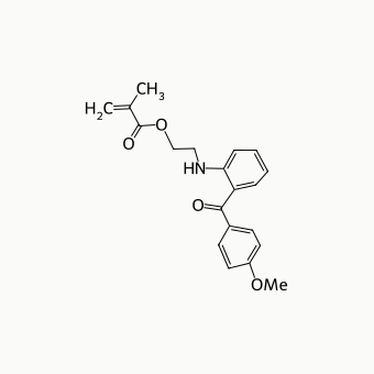 C=C(C)C(=O)OCCNc1ccccc1C(=O)c1ccc(OC)cc1